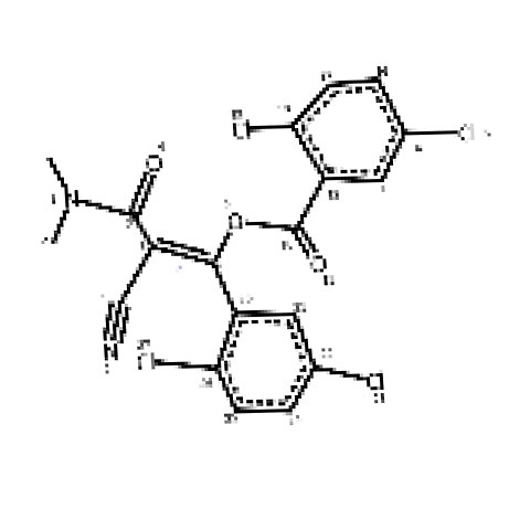 CN(C)C(=O)/C(C#N)=C(\OC(=O)c1cc(Cl)ccc1Cl)c1cc(Cl)ccc1Cl